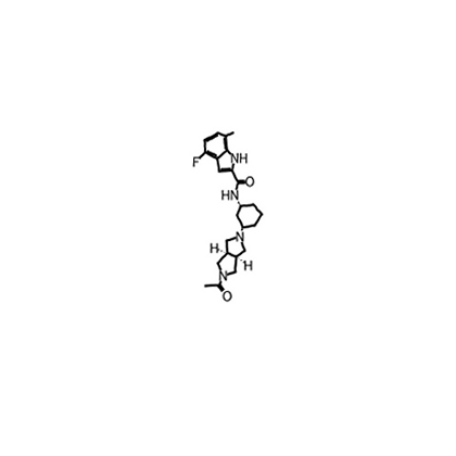 CC(=O)N1C[C@@H]2CN([C@H]3CCC[C@@H](NC(=O)c4cc5c(F)ccc(C)c5[nH]4)C3)C[C@@H]2C1